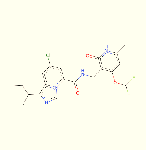 CCC(C)c1ncn2c(C(=O)NCc3c(OC(F)F)cc(C)[nH]c3=O)cc(Cl)cc12